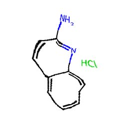 Cl.Nc1ccc2ccccc2n1